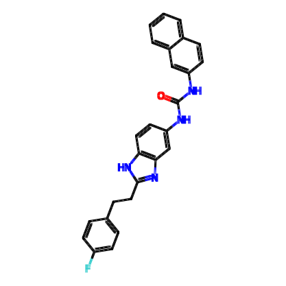 O=C(Nc1ccc2ccccc2c1)Nc1ccc2[nH]c(CCc3ccc(F)cc3)nc2c1